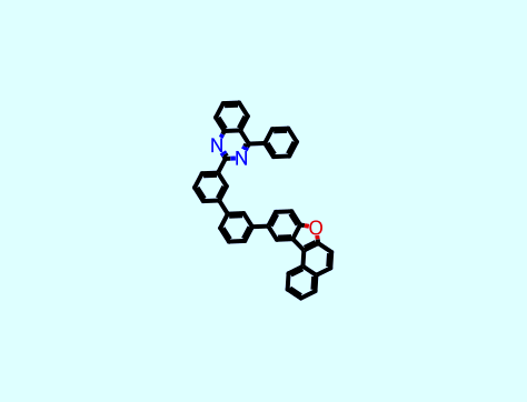 c1ccc(-c2nc(-c3cccc(-c4cccc(-c5ccc6oc7ccc8ccccc8c7c6c5)c4)c3)nc3ccccc23)cc1